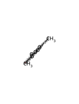 CCCCCCCCCCCCOCCOCCOCCCC(=O)OCCCCCCCCCC